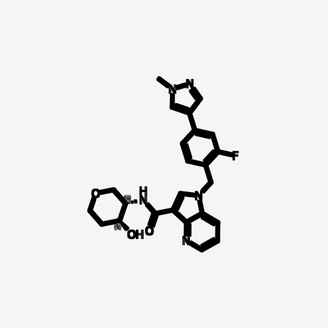 Cn1cc(-c2ccc(Cn3cc(C(=O)N[C@H]4COCC[C@@H]4O)c4ncccc43)c(F)c2)cn1